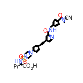 CC(C)[C@@H](NS(=O)(=O)N1CCN(c2ccc(C#Cc3ccnc(C(=O)NCc4ccc(C(=O)N(C)C#N)cc4)c3)cc2)CC1)C(=O)O